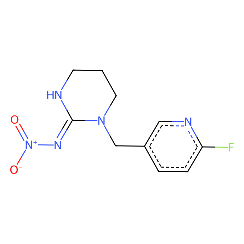 O=[N+]([O-])N=C1NCCCN1Cc1ccc(F)nc1